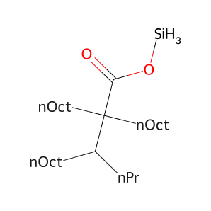 CCCCCCCCC(CCC)C(CCCCCCCC)(CCCCCCCC)C(=O)O[SiH3]